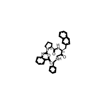 O=C(CNCc1ccccc1)[C@H](Cc1ccc2ccccc2c1)NC(=O)[C@@H]1CCCN1c1nc2ccccc2c(=O)o1